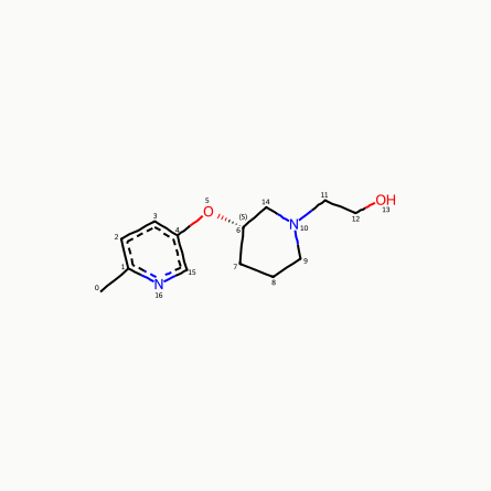 Cc1ccc(O[C@H]2CCCN(CCO)C2)cn1